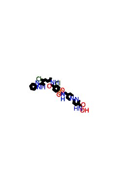 C=C(/C(Cl)=C\C=C(/C)NC(=O)c1ccc(S(=O)(=O)NCC2CCN(c3ccc(C(=O)NO)cn3)CC2)cc1Cl)c1nc2ccccc2[nH]1